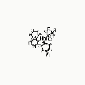 O=S(=O)(Nc1ccc(Cl)cc1-c1noc2c1CCCC2)C(F)(F)F